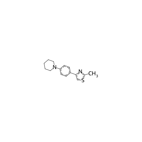 Cc1nc(-c2ccc(N3CCCCC3)cc2)cs1